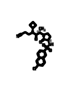 C[C@@H](C(=O)N(CCC#N)C1CCC1)N1CC[C@H](NS(=O)(=O)c2ccc3cc(Cl)ccc3c2)C1=O